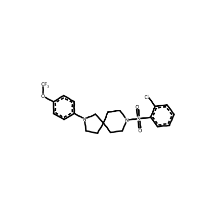 O=S(=O)(c1ccccc1Cl)N1CCC2(CCN(c3ccc(OC(F)(F)F)cc3)C2)CC1